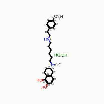 CCCN(CCCCCCNCCc1ccc(S(=O)(=O)O)cc1)[C@H]1CCc2c(ccc(O)c2O)C1.Cl.Cl